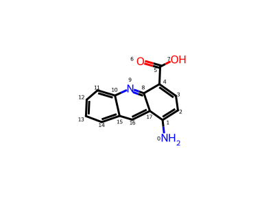 Nc1ccc(C(=O)O)c2nc3ccccc3cc12